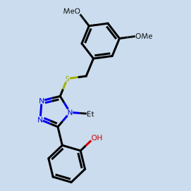 CCn1c(SCc2cc(OC)cc(OC)c2)nnc1-c1ccccc1O